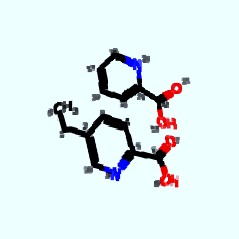 CCc1ccc(C(=O)O)nc1.O=C(O)c1ccccn1